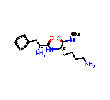 CC(C)(C)NC(=O)[C@H](CCCCN)NC(=O)[C@@H](N)Cc1ccccc1